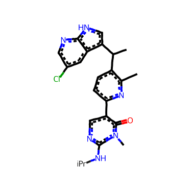 Cc1nc(-c2cnc(NC(C)C)n(C)c2=O)ccc1C(C)c1c[nH]c2ncc(Cl)cc12